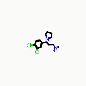 CN(C)CCC(c1ccc(Cl)c(Cl)c1)N1CCCC1